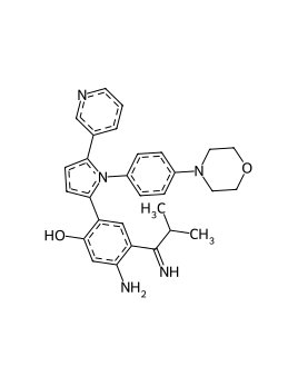 CC(C)C(=N)c1cc(-c2ccc(-c3cccnc3)n2-c2ccc(N3CCOCC3)cc2)c(O)cc1N